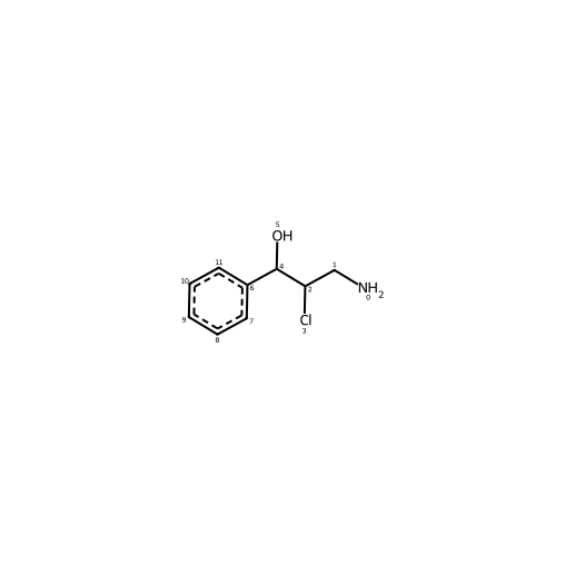 NCC(Cl)C(O)c1ccccc1